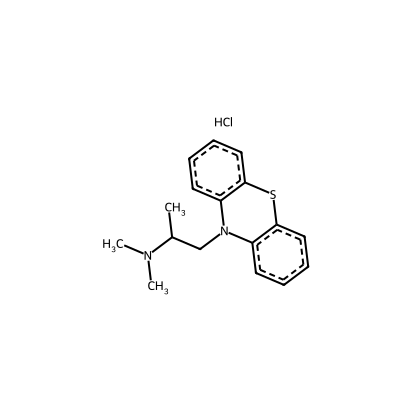 CC(CN1c2ccccc2Sc2ccccc21)N(C)C.Cl